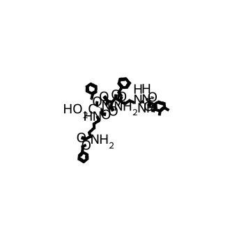 Cc1ccc(S(=O)(=O)NC(=N)NCCC[C@@](N)(OCc2ccccc2)C(=O)C2C(=O)N([C@H](C(=O)NCCCC[C@H](N)C(=O)OCc3ccccc3)C(OCc3ccccc3)C(=O)O)C2=O)c(C)c1C